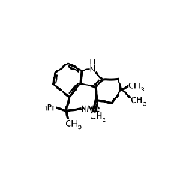 C=C1CC(C)(C)Cc2[nH]c3cccc(C(C)(CCC)NC)c3c21